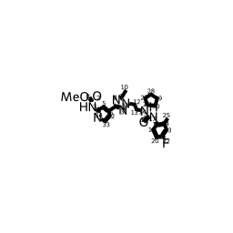 COC(=O)Nc1cc(-c2nc(C)n(CCN(C(=O)Nc3ccc(F)cc3C)C3CCCC3)n2)ccn1